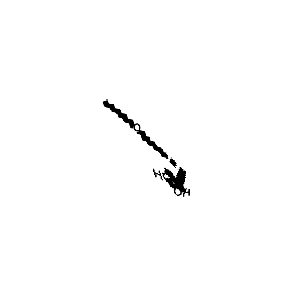 C=C.C=C.C=C.C=C.C=C.CCCCCC.CCCCCCCCCCOCCCCCCCCCC.OCCO